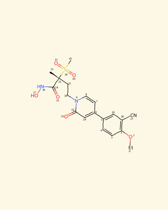 CCOc1ccc(-c2ccn(CC[C@](C)(C(=O)NO)S(C)(=O)=O)c(=O)c2)cc1C#N